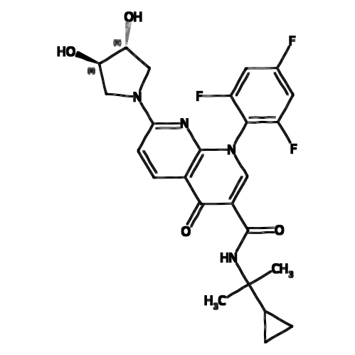 CC(C)(NC(=O)c1cn(-c2c(F)cc(F)cc2F)c2nc(N3C[C@@H](O)[C@H](O)C3)ccc2c1=O)C1CC1